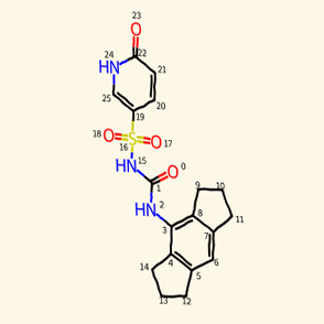 O=C(Nc1c2c(cc3c1CCC3)CCC2)NS(=O)(=O)c1ccc(=O)[nH]c1